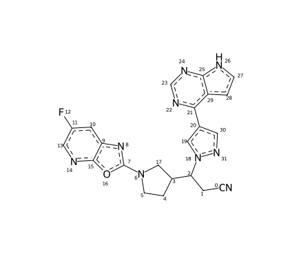 N#CCC(C1CCN(c2nc3cc(F)cnc3o2)C1)n1cc(-c2ncnc3[nH]ccc23)cn1